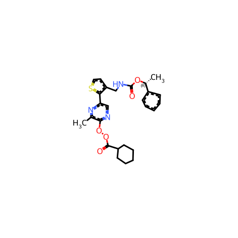 Cc1nc(-c2sccc2CNC(=O)O[C@H](C)c2ccccc2)cnc1OOC(=O)C1CCCCC1